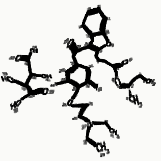 CC[C@H](C)OC(=O)Cc1oc2ccccc2c1C(=O)c1cc(I)c(OCCN(CC)CC)c(I)c1.O=C(O)C(O)C(O)C(=O)O